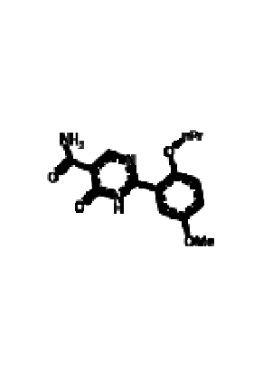 CCCOc1ccc(OC)cc1-c1ncc(C(N)=O)c(=O)[nH]1